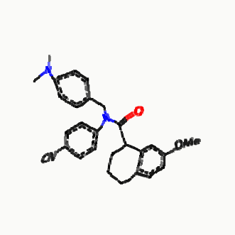 [C-]#[N+]c1ccc(N(Cc2ccc(N(C)C)cc2)C(=O)C2CCCc3ccc(OC)cc32)cc1